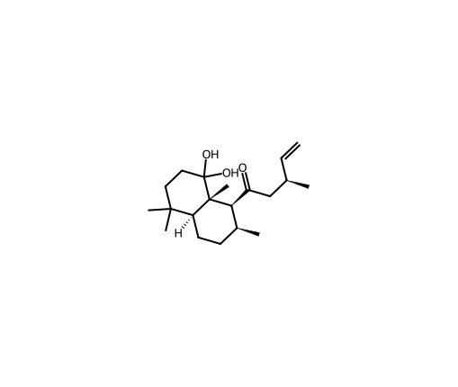 C=C[C@@H](C)CC(=O)[C@H]1[C@@H](C)CC[C@H]2C(C)(C)CCC(O)(O)[C@]12C